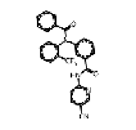 N#Cc1ccc(NC(=O)c2cccc(N(C(=O)c3ccccc3)c3ccccc3C(F)(F)F)c2)nc1